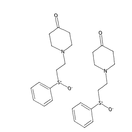 O=C1CCN(CC[S+]([O-])c2ccccc2)CC1.O=C1CCN(CC[S+]([O-])c2ccccc2)CC1